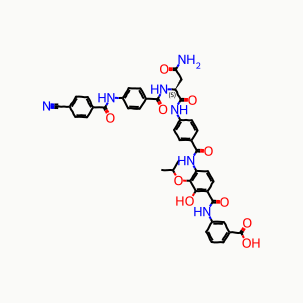 CC(C)Oc1c(NC(=O)c2ccc(NC(=O)[C@H](CC(N)=O)NC(=O)c3ccc(NC(=O)c4ccc(C#N)cc4)cc3)cc2)ccc(C(=O)Nc2cccc(C(=O)O)c2)c1O